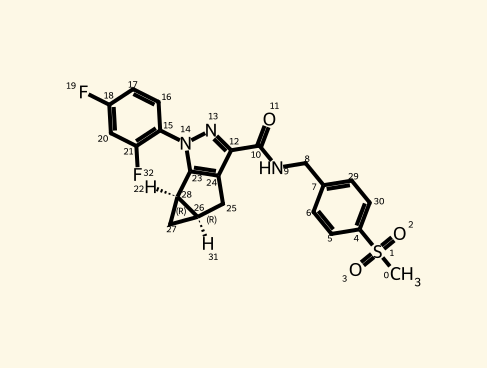 CS(=O)(=O)c1ccc(CNC(=O)c2nn(-c3ccc(F)cc3F)c3c2C[C@H]2C[C@@H]32)cc1